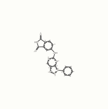 O=C1NC(=O)c2cc(Nc3ncc4nnn(-c5ccccc5)c4n3)ccc21